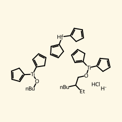 C1=CC[C]([Hf][C]2=CC=CC2)=C1.CCCCC(CC)C[O][Ti]([C]1=CC=CC1)[C]1=CC=CC1.CCCC[O][Ti]([C]1=CC=CC1)[C]1=CC=CC1.Cl.[H-]